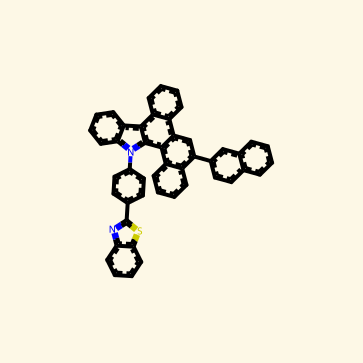 c1ccc2cc(-c3cc4c5ccccc5c5c6ccccc6n(-c6ccc(-c7nc8ccccc8s7)cc6)c5c4c4ccccc34)ccc2c1